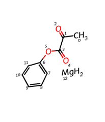 CC(=O)C(=O)Oc1ccccc1.[MgH2]